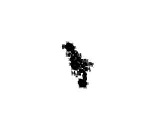 CCCC(NC(=O)CP(=O)(O)C(Cc1ccccc1)NC(=O)c1cccc(F)c1)C(=O)N[C@@H](CC=Cc1ccccc1)C(N)=O